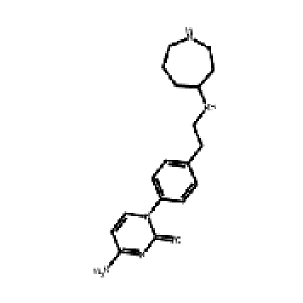 Nc1ccn(-c2ccc(CCNC3CCCNCC3)cc2)c(=O)n1